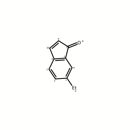 CCc1ccc2c(c1)C(=O)C=C2